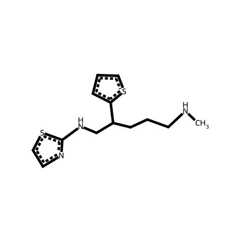 CNCCCC(CNc1nccs1)c1cccs1